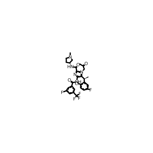 CC(=O)Cn1c(C(=O)N[C@@H]2CCN(C)C2)nc(NC(=O)c2cc(F)cc(C(F)(F)F)c2)c1[C@@H](C)c1cc(F)ccc1Cl